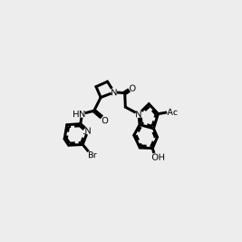 CC(=O)c1cn(CC(=O)N2CCC2C(=O)Nc2cccc(Br)n2)c2ccc(O)cc12